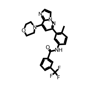 Cc1ccc(NC(=O)c2cccc(C(F)(F)F)c2)cc1-c1cc(N2CCOCC2)c2nccn2n1